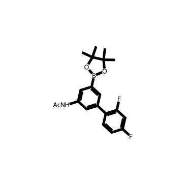 CC(=O)Nc1cc(B2OC(C)(C)C(C)(C)O2)cc(-c2ccc(F)cc2F)c1